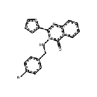 O=c1c2ccccc2nc(-c2cccs2)n1NCc1ccc(Br)cc1